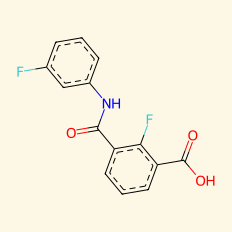 O=C(O)c1cccc(C(=O)Nc2cccc(F)c2)c1F